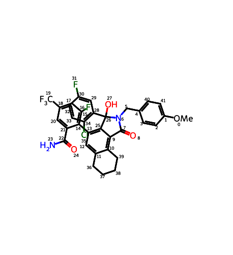 COc1ccc(CN2C(=O)c3c4c(cc(-c5c(F)cc(C(F)(F)F)cc5C(N)=O)c3C2(O)c2cc(F)ccc2Cl)CCCC4)cc1